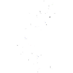 CS(=O)(=O)c1ccc(OC2CCN(C3CCN(c4ncc(C(F)(F)F)cc4Cl)CC3)C2=O)cn1